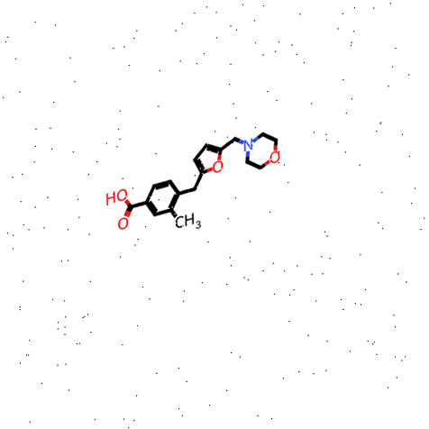 Cc1cc(C(=O)O)ccc1Cc1ccc(CN2CCOCC2)o1